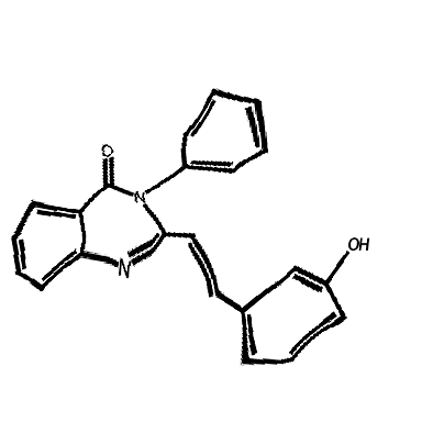 O=c1c2ccccc2nc(C=Cc2cccc(O)c2)n1-c1ccccc1